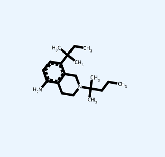 CCCC(C)(C)N1CCc2c(N)ccc(C(C)(C)CC)c2C1